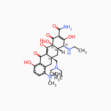 CCN[C@@H]1C(O)=C(C(N)=O)C(=O)[C@@]2(O)C(O)=C3C(=O)c4c(O)ccc(N(C)C)c4C[C@@]3(CN(CC)CC)C[C@@H]12